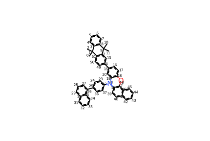 CC1(C)c2ccccc2C(C)(C)c2cc(-c3ccc4c(c3)N(c3ccc(-c5cccc6ccccc56)cc3)c3ccc5ccccc5c3O4)ccc21